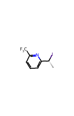 C[C@@H](I)c1cccc(C(F)(F)F)n1